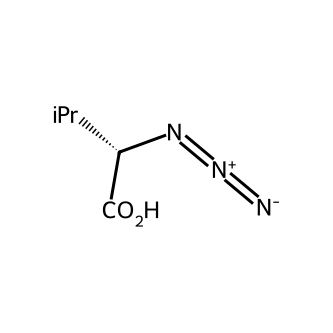 CC(C)[C@H](N=[N+]=[N-])C(=O)O